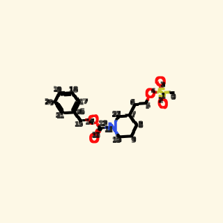 CS(=O)(=O)OCCC1CCCN(C(=O)OCc2ccccc2)C1